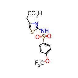 O=C(O)Cc1csc(NS(=O)(=O)c2ccc(OC(F)(F)F)cc2)n1